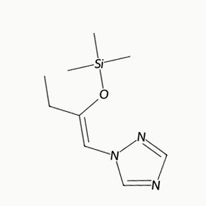 CCC(=Cn1cncn1)O[Si](C)(C)C